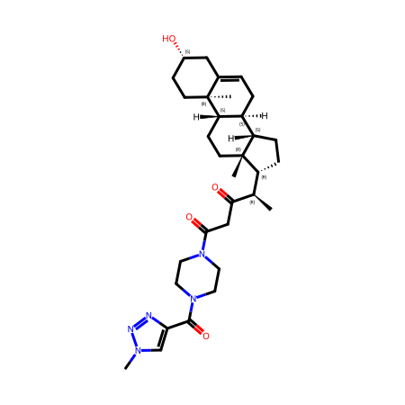 C[C@@H](C(=O)CC(=O)N1CCN(C(=O)c2cn(C)nn2)CC1)[C@H]1CC[C@H]2[C@@H]3CC=C4C[C@@H](O)CC[C@]4(C)[C@H]3CC[C@@]12C